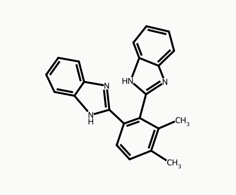 Cc1ccc(-c2nc3ccccc3[nH]2)c(-c2nc3ccccc3[nH]2)c1C